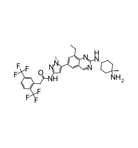 CCc1cc(-c2cc(NC(=O)Cc3cc(C(F)(F)F)ccc3C(F)(F)F)nn2C)cc2cnc(N[C@H]3CC[C@@](C)(N)CC3)nc12